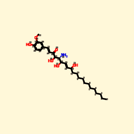 CCCCCCCCCCCCC(O)/C=C/[C@@H](O)[C@@H](N)C(O)C(=O)/C=C/c1ccc(O)c(OC)c1